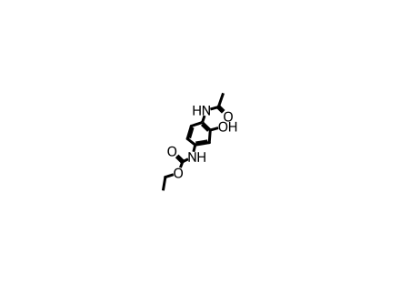 CCOC(=O)Nc1ccc(NC(C)=O)c(O)c1